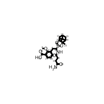 COc1c(CC(NC(=O)CCC(N)=O)B2OC3CC4CC(C4(C)C)C3(C)O2)cccc1C(=O)O